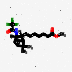 COC(=O)CCCCCC[C@H]1C2CC(C[C@@H]1NC(=O)C(F)(F)F)C2(C)C